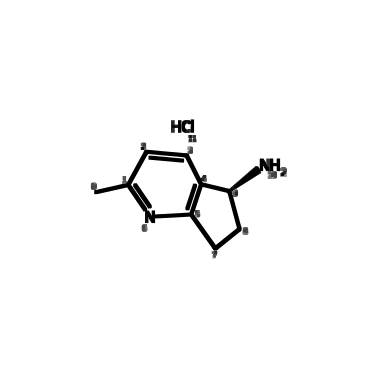 Cc1ccc2c(n1)CC[C@@H]2N.Cl